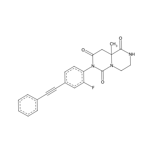 CC12CC(=O)N(c3ccc(C#Cc4ccccc4)cc3F)C(=O)N1CCNC2=O